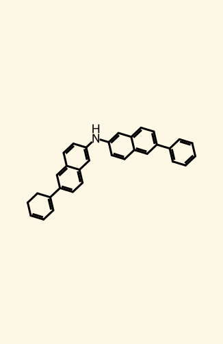 C1=CCCC(c2ccc3cc(Nc4ccc5cc(-c6ccccc6)ccc5c4)ccc3c2)=C1